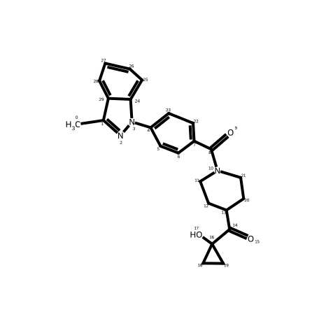 Cc1nn(-c2ccc(C(=O)N3CCC(C(=O)C4(O)CC4)CC3)cc2)c2ccccc12